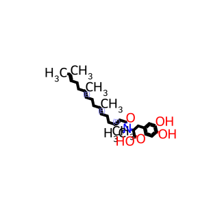 CC(C)=CCC/C(C)=C/CC/C(C)=C/CC/C(C)=C/C(=O)N(C)C(Cc1ccc(O)c(O)c1)C(=O)O